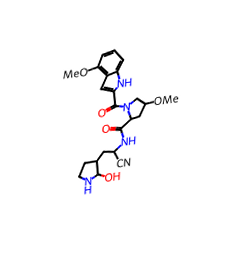 COc1cccc2[nH]c(C(=O)N3CC(OC)CC3C(=O)NC(C#N)CC3CCNC3O)cc12